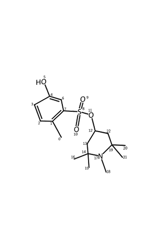 Cc1ccc(O)cc1S(=O)(=O)OC1CC(C)(C)N(C)C(C)(C)C1